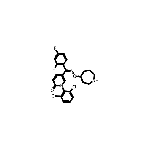 O=c1ccc(/C(=N\OC2CCCNCC2)c2ccc(F)cc2F)cn1-c1c(Cl)cccc1Cl